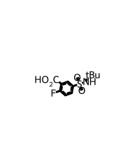 CC(C)(C)NS(=O)(=O)c1ccc(F)c(C(=O)O)c1